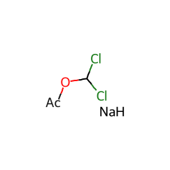 CC(=O)OC(Cl)Cl.[NaH]